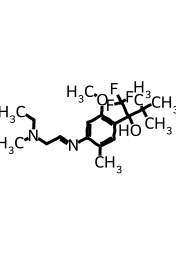 CCN(C)CC=Nc1cc(OC)c(C(O)(C(C)(C)C)C(F)(F)F)cc1C